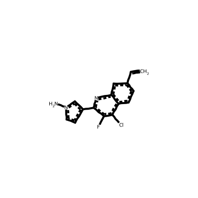 C=Cc1ccc2c(Cl)c(F)c(-c3ccn(N)c3)nc2c1